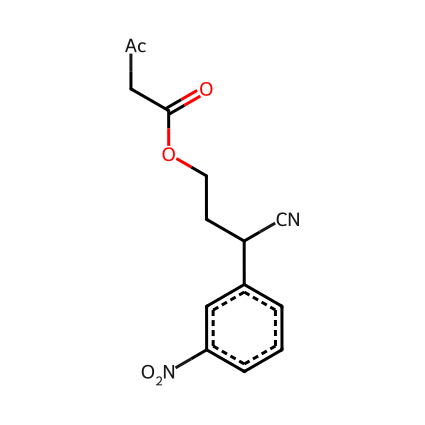 CC(=O)CC(=O)OCCC(C#N)c1cccc([N+](=O)[O-])c1